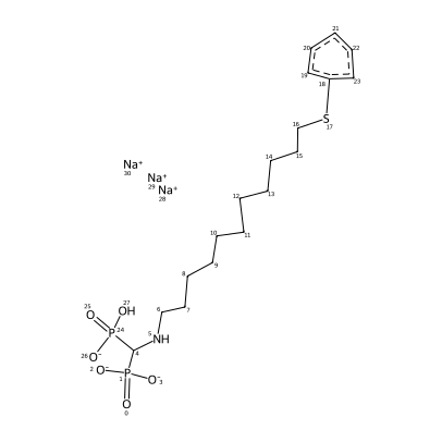 O=P([O-])([O-])C(NCCCCCCCCCCCSc1ccccc1)P(=O)([O-])O.[Na+].[Na+].[Na+]